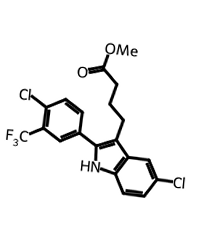 COC(=O)CCCc1c(-c2ccc(Cl)c(C(F)(F)F)c2)[nH]c2ccc(Cl)cc12